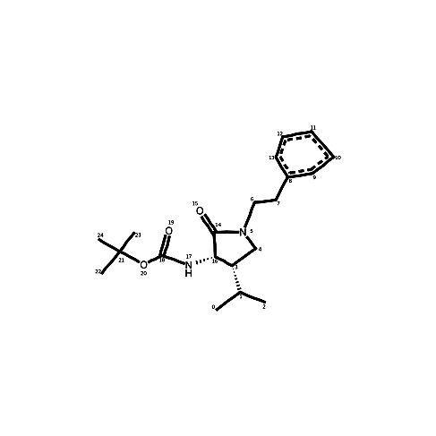 CC(C)[C@H]1CN(CCc2ccccc2)C(=O)[C@H]1NC(=O)OC(C)(C)C